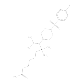 CC(N)(CCCCCC(=O)O)C(B(O)O)N1CCN(S(=O)(=O)c2ccc(F)cc2)CC1